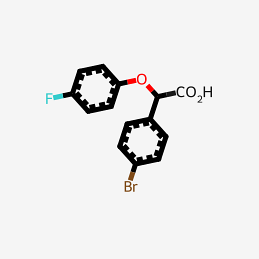 O=C(O)C(Oc1ccc(F)cc1)c1ccc(Br)cc1